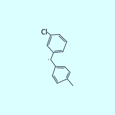 Cc1ccc([CH]c2cccc(Cl)c2)cc1